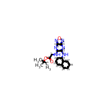 CC(C)(C)OC(=O)CNc1nc2nonc2nc1Nc1cccc2ccccc12